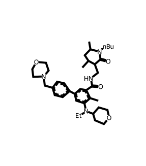 CCCCN1C(=O)C(CNC(=O)c2cc(-c3ccc(CN4CCOCC4)cc3)cc(N(CC)C3CCOCC3)c2C)C(C)CC1C